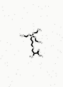 CCO[Si](CCCSCC(C)C(N)=O)(OCC)OCC